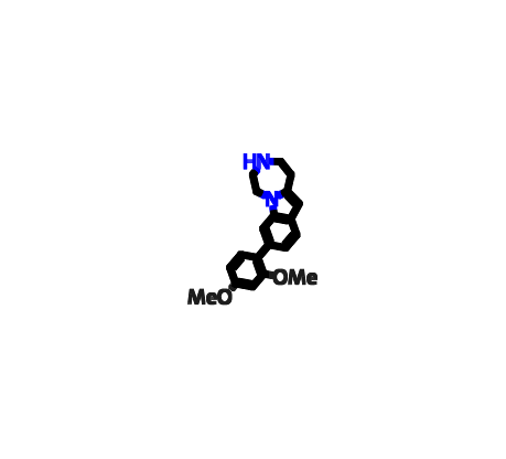 COc1ccc(-c2ccc3cc4n(c3c2)CCNCC4)c(OC)c1